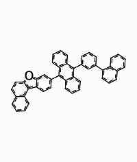 c1cc(-c2cccc3ccccc23)cc(-c2c3ccccc3c(-c3ccc4c(c3)oc3ccc5ccccc5c34)c3ccccc23)c1